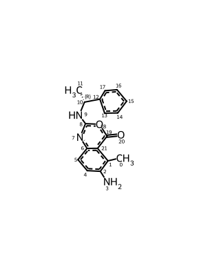 Cc1c(N)ccc2nc(N[C@H](C)c3ccccc3)oc(=O)c12